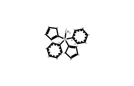 [CH3][Zr]([C]1=CC=CC1)([C]1=CC=CC1)([c]1ccccc1)[c]1ccccc1